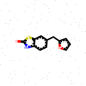 O=c1[nH]c2ccc(Cc3ccco3)cc2s1